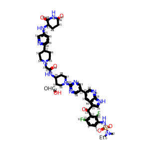 CCN(C)S(=O)(=O)Nc1ccc(F)c(C(=O)c2c[nH]c3ncc(-c4cnc(N5CCC(NC(=O)CN6CCC(c7ccc(NC8CCC(=O)NC8=O)cn7)CC6)CC5)nc4)cc23)c1F.O=CO